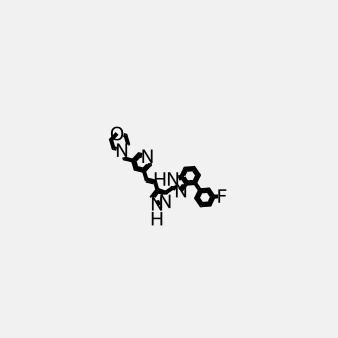 Fc1cccc(-c2cccc3[nH]c(-c4n[nH]cc4C=Cc4cncc(CN5CCOCC5)c4)nc23)c1